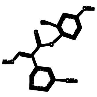 COC=C(C(=O)Oc1ccc(OC)cc1C(C)(C)C)c1cccc(OC)c1